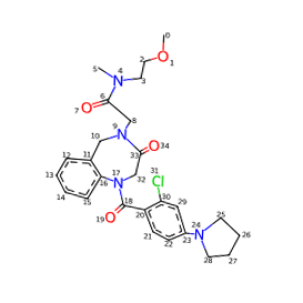 COCCN(C)C(=O)CN1Cc2ccccc2N(C(=O)c2ccc(N3CCCC3)cc2Cl)CC1=O